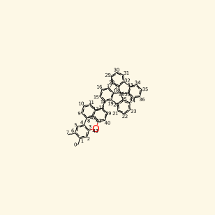 Cc1cc2c(cc1C)-c1cccc3c(-c4cccc5c4-c4ccccc4C54c5ccccc5-c5ccccc54)ccc(c13)O2